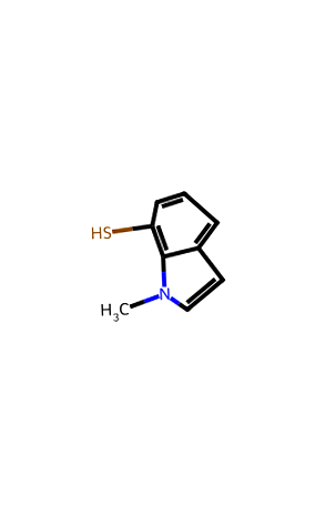 Cn1ccc2cccc(S)c21